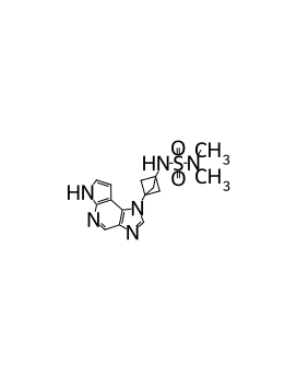 CN(C)S(=O)(=O)NC12CC(n3cnc4cnc5[nH]ccc5c43)(C1)C2